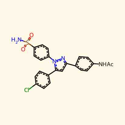 CC(=O)Nc1ccc(-c2cc(-c3ccc(Cl)cc3)n(-c3ccc(S(N)(=O)=O)cc3)n2)cc1